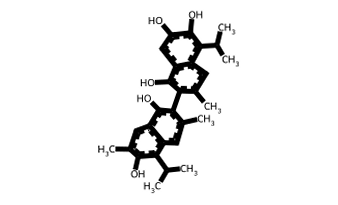 Cc1cc2c(O)c(-c3c(C)cc4c(C(C)C)c(O)c(O)cc4c3O)c(C)cc2c(C(C)C)c1O